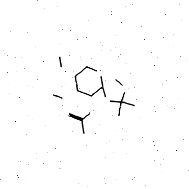 C=C(C)O[C@@H]1[C@H](OC)[C@H](OC)CO[C@]12COC(C)(C)O2